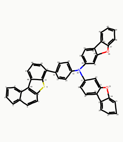 c1ccc2c(c1)ccc1sc3c(-c4ccc(N(c5ccc6c(c5)oc5ccccc56)c5ccc6c(c5)oc5ccccc56)cc4)cccc3c12